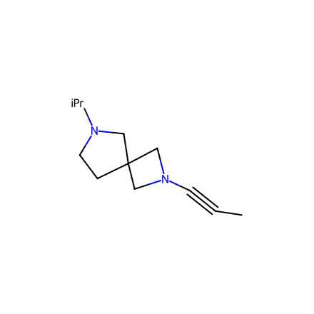 CC#CN1CC2(CCN(C(C)C)C2)C1